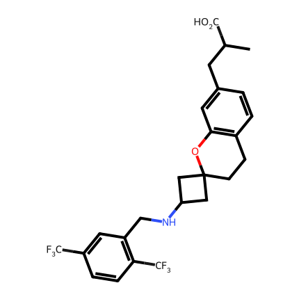 CC(Cc1ccc2c(c1)OC1(CC2)CC(NCc2cc(C(F)(F)F)ccc2C(F)(F)F)C1)C(=O)O